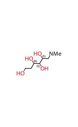 CNC[C@H](O)[C@@H](O)[C@H](O)CCO